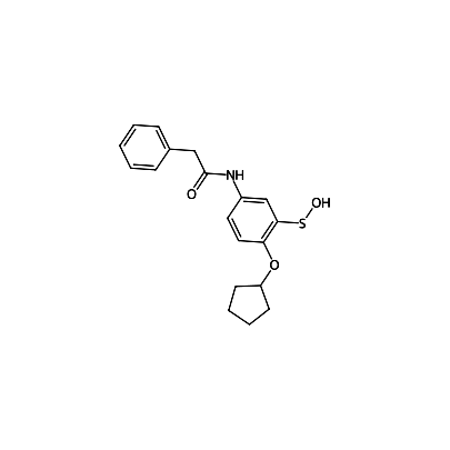 O=C(Cc1ccccc1)Nc1ccc(OC2CCCC2)c(SO)c1